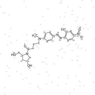 CN(CCCC(=O)N1CC(O)CC1CO)c1ccc(/N=N/c2ccc([N+](=O)[O-])cc2Cl)cc1